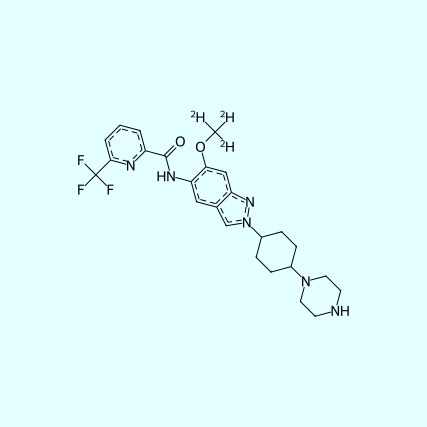 [2H]C([2H])([2H])Oc1cc2nn(C3CCC(N4CCNCC4)CC3)cc2cc1NC(=O)c1cccc(C(F)(F)F)n1